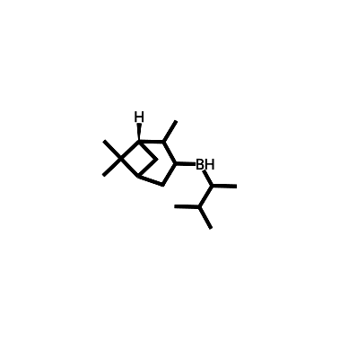 CC(C)C(C)BC1CC2C[C@@H](C1C)C2(C)C